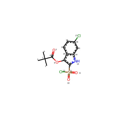 CC(C)(C)C(=O)Oc1c(S(=O)(=O)Cl)[nH]c2cc(Cl)ccc12